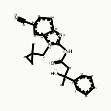 CC1(Cn2c(NC(=O)CC(C)(O)c3ccccc3)nc3ccc(C#N)cc32)CC1